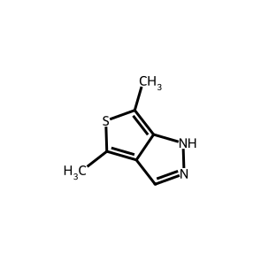 Cc1sc(C)c2[nH]ncc12